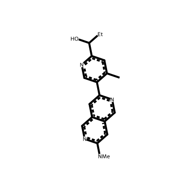 CCC(O)c1cc(C)c(-c2cc3cnc(NC)cc3cn2)cn1